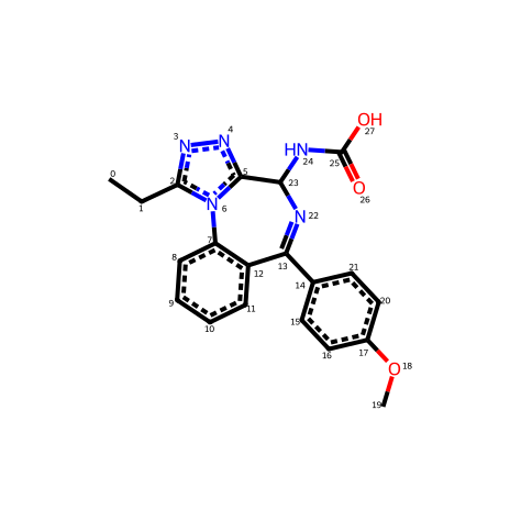 CCc1nnc2n1-c1ccccc1C(c1ccc(OC)cc1)=NC2NC(=O)O